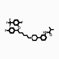 CC(C)C(=O)Nc1cccc(C2CCN(CCCCCC(Oc3cc(C(F)(F)F)ccc3F)c3ccc(F)cc3)CC2)c1